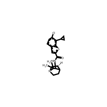 CC1(C)[C@@H](NC(=O)c2cc3ccc(Cl)c(C4CC4)c3s2)C2CCN1CC2